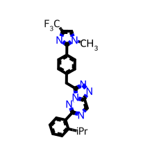 CC(C)c1ccccc1-c1ncc2nnc(Cc3ccc(-c4nc(C(F)(F)F)cn4C)cc3)n2n1